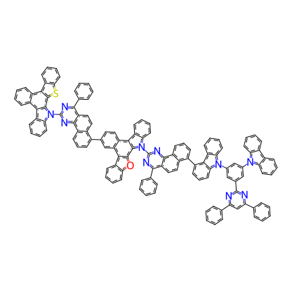 c1ccc(-c2cc(-c3ccccc3)nc(-c3cc(-n4c5ccccc5c5ccccc54)cc(-n4c5ccccc5c5c(-c6cccc7c6ccc6c(-c8ccccc8)nc(-n8c9ccccc9c9c%10ccc(-c%11cccc%12c%11ccc%11c(-c%13ccccc%13)nc(-n%13c%14ccccc%14c%14c%15ccccc%15c%15c%16ccccc%16sc%15c%14%13)nc%11%12)cc%10c%10c%11ccccc%11oc%10c98)nc67)cccc54)c3)n2)cc1